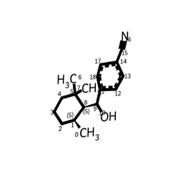 C[C@H]1CCCC(C)(C)[C@H]1C(O)c1ccc(C#N)cc1